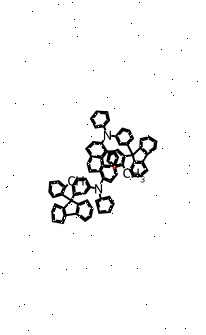 Cc1ccccc1C1(c2cccc(N(c3ccccc3)c3ccc4ccc5c(N(c6ccccc6)c6cccc(C7(c8ccccc8C)c8ccccc8-c8ccccc87)c6)ccc6ccc3c4c65)c2)c2ccccc2-c2ccccc21